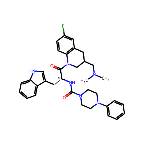 CN(C)CC1Cc2cc(F)ccc2N(C(=O)[C@@H](Cc2c[nH]c3ccccc23)NC(=O)N2CCN(c3ccccc3)CC2)C1